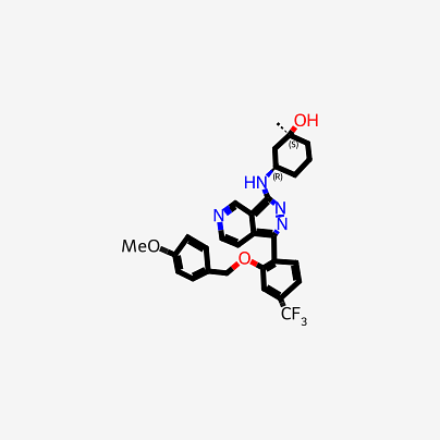 COc1ccc(COc2cc(C(F)(F)F)ccc2-c2nnc(N[C@@H]3CCC[C@](C)(O)C3)c3cnccc23)cc1